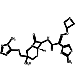 Cn1nnnc1SCC1(C(=O)O)CS[C@@H]2C(NC(=O)C(=NOC3CSC3)c3csc(N)n3)C(=O)N2C1